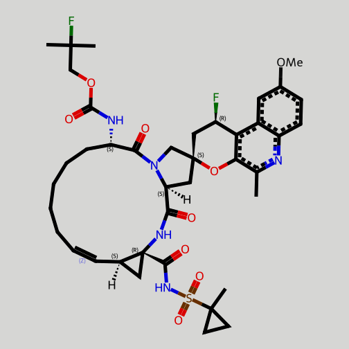 COc1ccc2nc(C)c3c(c2c1)[C@H](F)C[C@]1(C[C@H]2C(=O)N[C@]4(C(=O)NS(=O)(=O)C5(C)CC5)C[C@H]4/C=C\CCCCC[C@H](NC(=O)OCC(C)(C)F)C(=O)N2C1)O3